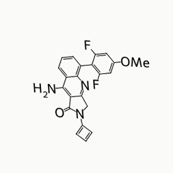 COc1cc(F)c(-c2cccc3c(N)c4c(nc23)CN(C2=CC=C2)C4=O)c(F)c1